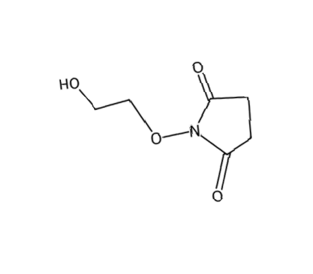 O=C1CCC(=O)N1OCCO